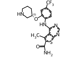 Cc1c(C(N)=O)sc2ncnc(Nc3ccc(C(F)(F)F)cc3O[C@H]3CCCNC3)c12